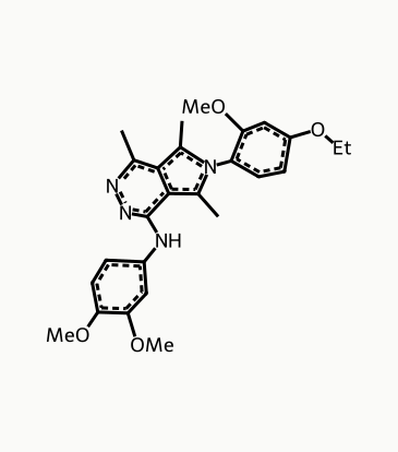 CCOc1ccc(-n2c(C)c3c(C)nnc(Nc4ccc(OC)c(OC)c4)c3c2C)c(OC)c1